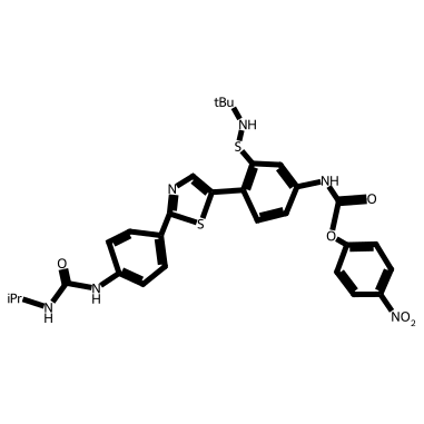 CC(C)NC(=O)Nc1ccc(-c2ncc(-c3ccc(NC(=O)Oc4ccc([N+](=O)[O-])cc4)cc3SNC(C)(C)C)s2)cc1